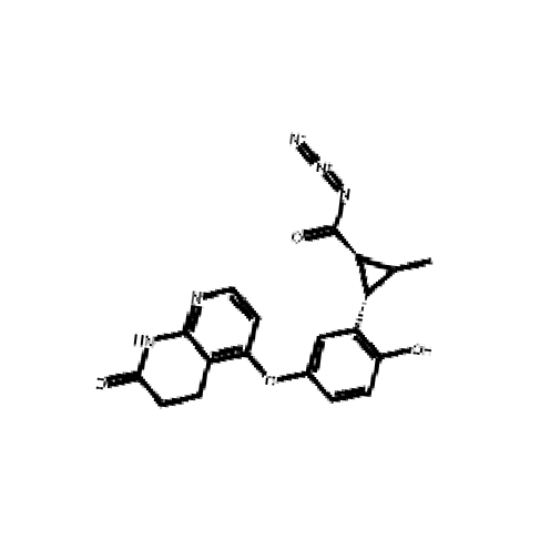 CC1[C@H](C(=O)N=[N+]=[N-])[C@H]1c1cc(Oc2ccnc3c2CCC(=O)N3)ccc1O